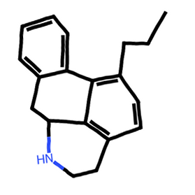 CCCc1ccc2c3c1-c1ccccc1CC3NCC2